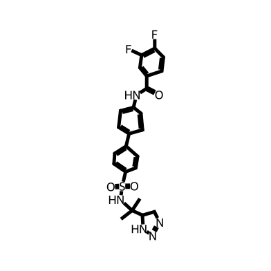 CC(C)(NS(=O)(=O)c1ccc(-c2ccc(NC(=O)c3ccc(F)c(F)c3)cc2)cc1)C1CN=NN1